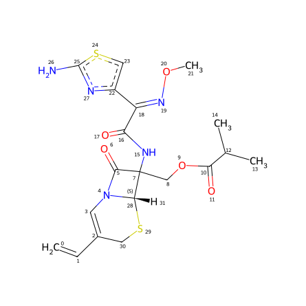 C=CC1=CN2C(=O)C(COC(=O)C(C)C)(NC(=O)C(=NOC)c3csc(N)n3)[C@@H]2SC1